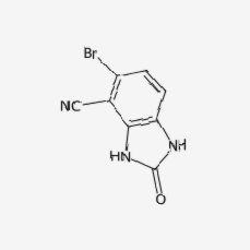 N#Cc1c(Br)ccc2[nH]c(=O)[nH]c12